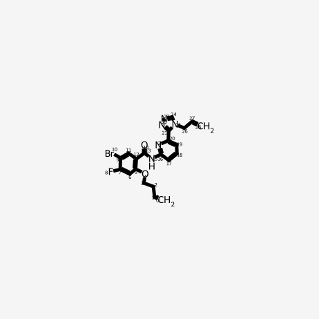 C=CCCOc1cc(F)c(Br)cc1C(=O)Nc1cccc(-c2nncn2CC=C)n1